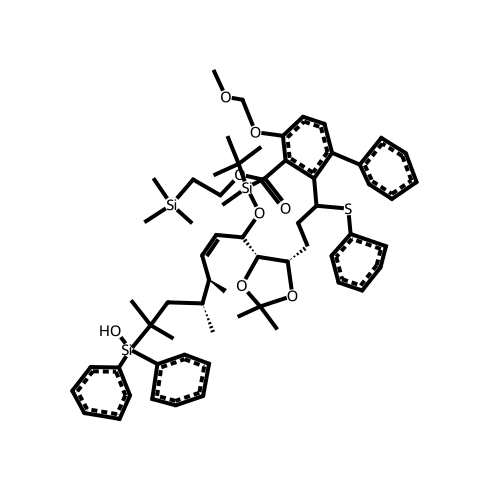 COCOc1ccc(-c2ccccc2)c(C(CC[C@@H]2OC(C)(C)O[C@@H]2C(/C=C\[C@@H](C)[C@H](C)CC(C)(C)[Si](O)(c2ccccc2)c2ccccc2)O[Si](C)(C)C(C)(C)C)Sc2ccccc2)c1C(=O)OCC[Si](C)(C)C